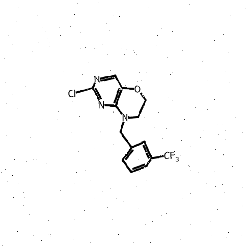 FC(F)(F)c1cccc(CN2CCOc3cnc(Cl)nc32)c1